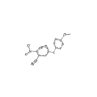 COc1ccc(Sc2ccc([N+](=O)[O-])c(C#N)c2)cc1